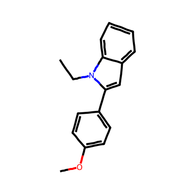 CCn1c(-c2ccc(OC)cc2)cc2ccccc21